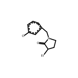 CCC1CCN(Cc2cccc(Cl)c2)C1=O